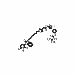 CC(C)NC(=O)O[C@H]1CC[C@@H](c2cc(NC(=O)Cc3cnn(CCCCCCCn4c(=O)n(C5CCC(=O)NC5=O)c5ccccc54)c3)n[nH]2)C1